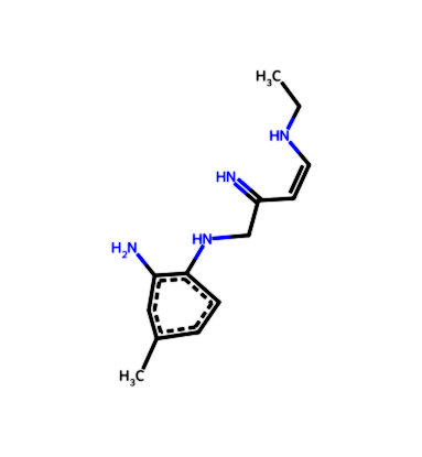 CCN/C=C\C(=N)CNc1ccc(C)cc1N